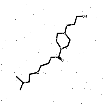 CC(C)CCOCCCC(=O)N1CCN(CCCO)CC1